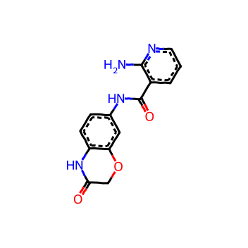 Nc1ncccc1C(=O)Nc1ccc2c(c1)OCC(=O)N2